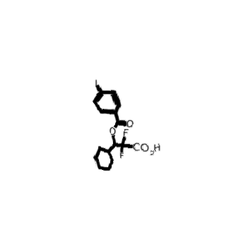 O=C(OC(C1CCCCC1)C(F)(F)C(=O)O)c1ccc(I)cc1